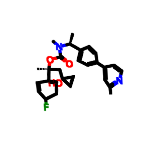 Cc1cc(-c2ccc([C@H](C)N(C)C(=O)O[C@@](C)(CC3(O)CC3)C3=CCC(F)C=C3)cc2)ccn1